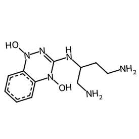 NCCC(CN)NC1=NN(O)c2ccccc2N1O